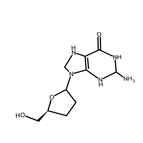 NC1NC(=O)C2=C(N1)N(C1CC[C@@H](CO)O1)CN2